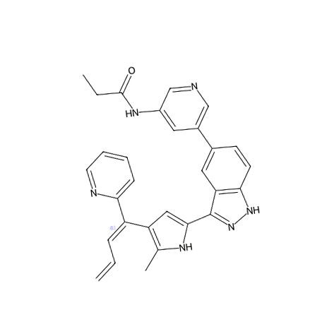 C=C/C=C(/c1ccccn1)c1cc(-c2n[nH]c3ccc(-c4cncc(NC(=O)CC)c4)cc23)[nH]c1C